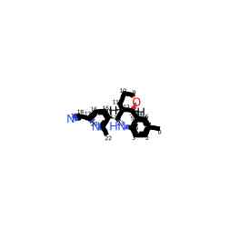 Cc1ccc2c(c1)[C@@H]1OCCC[C@@H]1[C@@H](c1ccc(C#N)nc1C)N2